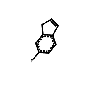 Fc1ccc2c(c1)C[C]=C2